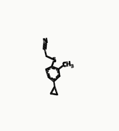 Cc1cc(C2CC2)ccc1SCC#N